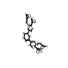 CCC(CN(CC1CO1)CC1CO1)C1CCCC(C(CC)CN(CC2CO2)CC2CO2)C1